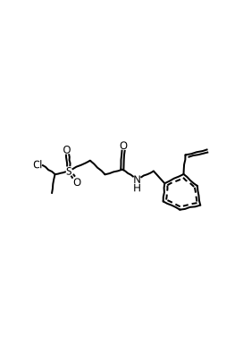 C=Cc1ccccc1CNC(=O)CCS(=O)(=O)C(C)Cl